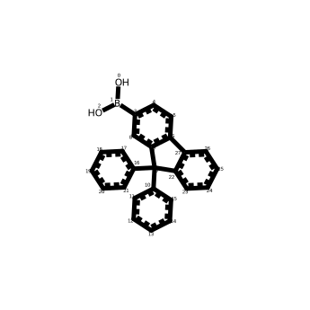 OB(O)c1ccc2c(c1)C(c1ccccc1)(c1ccccc1)c1ccccc1-2